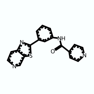 O=C(Nc1cccc(-c2nc3ccncc3s2)c1)c1ccncc1